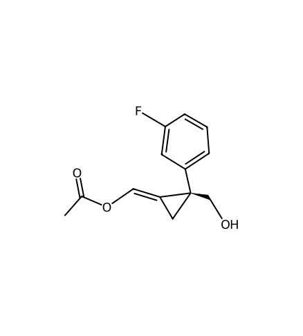 CC(=O)O/C=C1\C[C@@]1(CO)c1cccc(F)c1